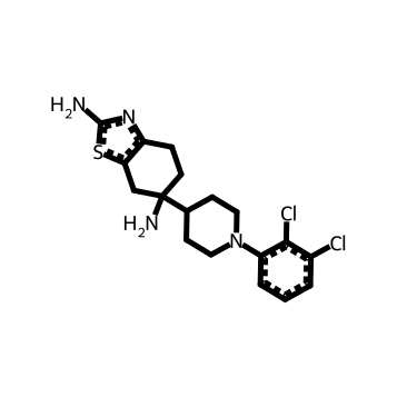 Nc1nc2c(s1)CC(N)(C1CCN(c3cccc(Cl)c3Cl)CC1)CC2